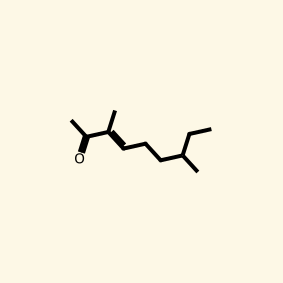 CCC(C)CC/C=C(\C)C(C)=O